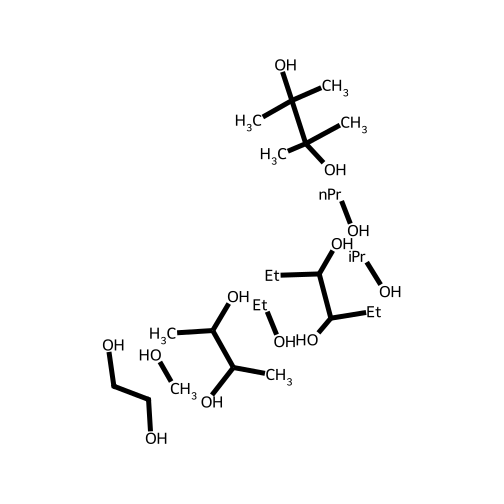 CC(C)(O)C(C)(C)O.CC(C)O.CC(O)C(C)O.CCC(O)C(O)CC.CCCO.CCO.CO.OCCO